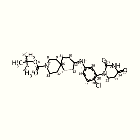 CC(C)(C)OC(=O)N1CCC2(CCC(Nc3ccc(Cl)c(N4CCC(=O)NC4=O)c3)CC2)CC1